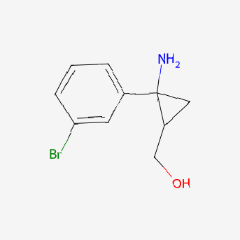 NC1(c2cccc(Br)c2)CC1CO